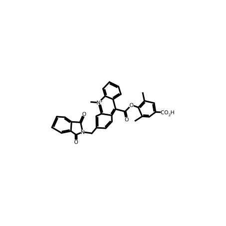 Cc1cc(C(=O)O)cc(C)c1OC(=O)c1c2ccccc2[n+](C)c2cc(CN3C(=O)c4ccccc4C3=O)ccc12